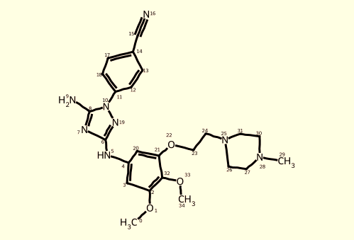 COc1cc(Nc2nc(N)n(-c3ccc(C#N)cc3)n2)cc(OCCN2CCN(C)CC2)c1OC